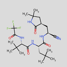 CC(C)(C)C[C@H](NC(=O)[C@@H](NC(=O)C(F)(F)F)C(C)(C)C)C(=O)N[C@H](C#N)C[C@@H]1CC(C)(C)NC1=O